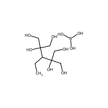 CCC(C(O)(CO)CO)C(O)(CO)CO.OB(O)O